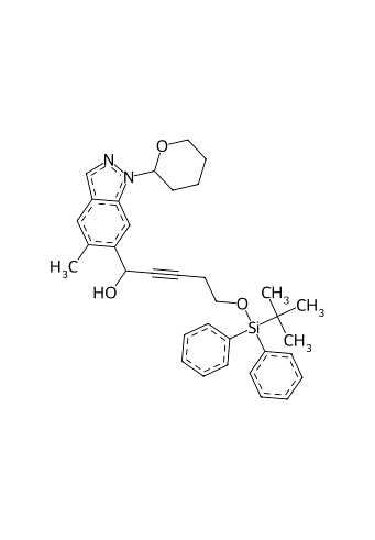 Cc1cc2cnn(C3CCCCO3)c2cc1C(O)C#CCCO[Si](c1ccccc1)(c1ccccc1)C(C)(C)C